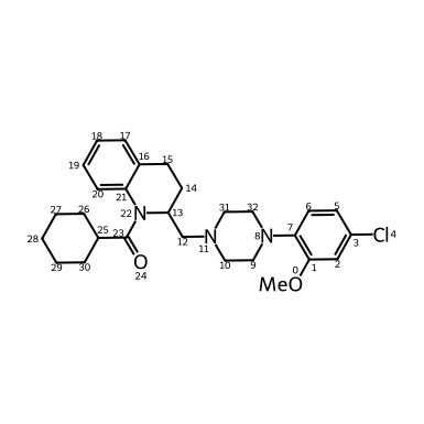 COc1cc(Cl)ccc1N1CCN(CC2CCc3ccccc3N2C(=O)C2CCCCC2)CC1